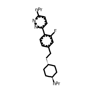 CCCc1ccc(-c2ccc(CC[C@H]3CC[C@H](CCC)CC3)cc2F)nn1